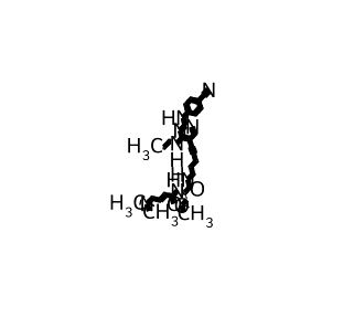 CCCNc1nc(Nc2ccc(C#N)cc2)ncc1C#CCCCNC(=O)[C@H](COC)NC(=O)/C=C/CN(C)C